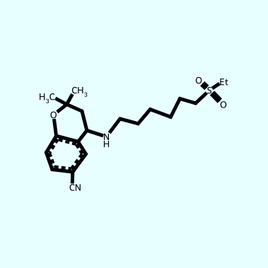 CCS(=O)(=O)CCCCCCNC1CC(C)(C)Oc2ccc(C#N)cc21